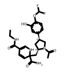 CCNC(=O)C1=CNC(C[C@H]2C[C@@H](c3ccc(OC(F)F)c(O)c3)CN2C(C)=O)(C(N)=O)C=C1